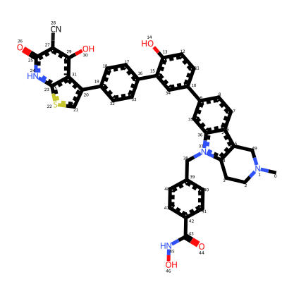 CN1CCc2c(c3ccc(-c4ccc(O)c(-c5ccc(-c6csc7[nH]c(=O)c(C#N)c(O)c67)cc5)c4)cc3n2Cc2ccc(C(=O)NO)cc2)C1